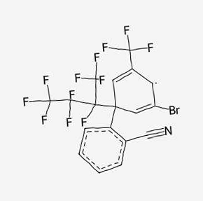 N#Cc1ccccc1C1(C(F)(C(F)(F)F)C(F)(F)C(F)(F)F)C=C(Br)[CH]C(C(F)(F)F)=C1